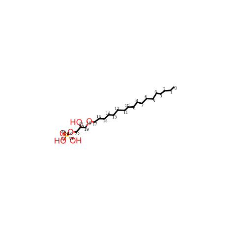 CCCCCCCCCCCCCCCCCCOCC(O)COP(=O)(O)O